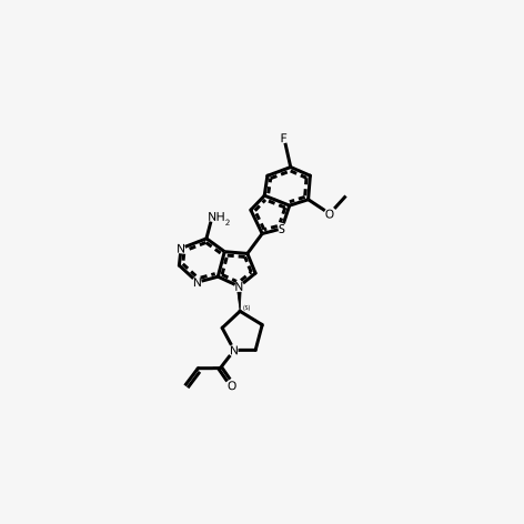 C=CC(=O)N1CC[C@H](n2cc(-c3cc4cc(F)cc(OC)c4s3)c3c(N)ncnc32)C1